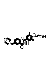 Cc1cc(-c2nc3ccc(CN4CCOCC4)cc3c(=O)[nH]2)cc(C)c1OCCO